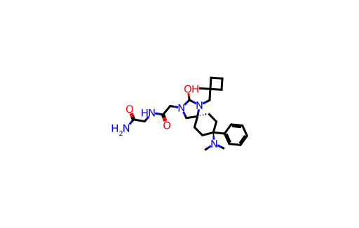 CN(C)[C@]1(c2ccccc2)CC[C@]2(CC1)CN(CC(=O)NCC(N)=O)C(O)N2CC1(C)CCC1